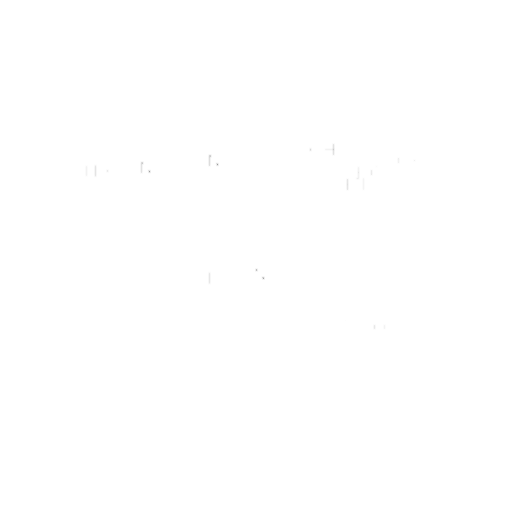 CN1CCN(Cc2cc(N(C)C3(c4ccccc4F)CCC(=O)CC3)ccc2O)CC1.Cl.Cl.Cl